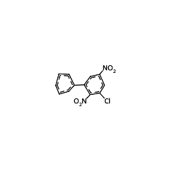 O=[N+]([O-])c1cc(Cl)c([N+](=O)[O-])c(-c2ccccc2)c1